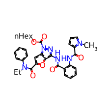 CCCCCCOC(=O)n1nc(NC(=O)c2ccccc2NC(=O)c2cccn2C)c2oc(C(=O)N(CC)c3ccccc3)cc21